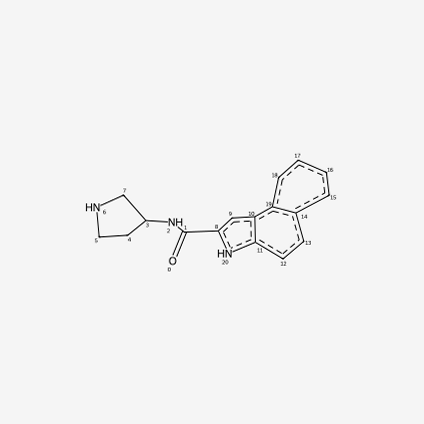 O=C(NC1CCNC1)c1cc2c(ccc3ccccc32)[nH]1